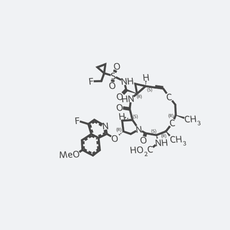 COc1ccc2c(O[C@@H]3C[C@H]4C(=O)N[C@]5(C(=O)NS(=O)(=O)C6(CF)CC6)C[C@H]5C=CCC[C@@H](C)C[C@@H](C)[C@H](NC(=O)O)C(=O)N4C3)ncc(F)c2c1